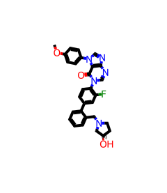 COc1ccc(-n2cnc3ncn(-c4ccc(-c5ccccc5CN5CC[C@@H](O)C5)cc4F)c(=O)c32)cc1